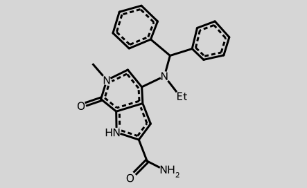 CCN(c1cn(C)c(=O)c2[nH]c(C(N)=O)cc12)C(c1ccccc1)c1ccccc1